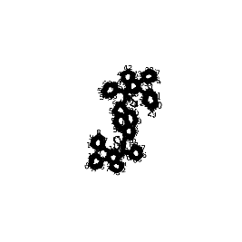 c1ccc(-c2c(-c3ccccc3)c3sc(-c4ccc5ccc6c(-c7sc8c(-c9ccccc9)c(-c9ccccc9)c9ccccc9c8c7-c7ccccc7)ccc7ccc4c5c76)c(-c4ccccc4)c3c3ccccc23)cc1